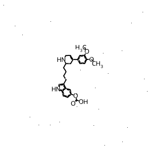 COc1ccc(C2=CCNC(CCCCc3c[nH]c4ccc(OC(=O)O)cc34)C2)cc1OC